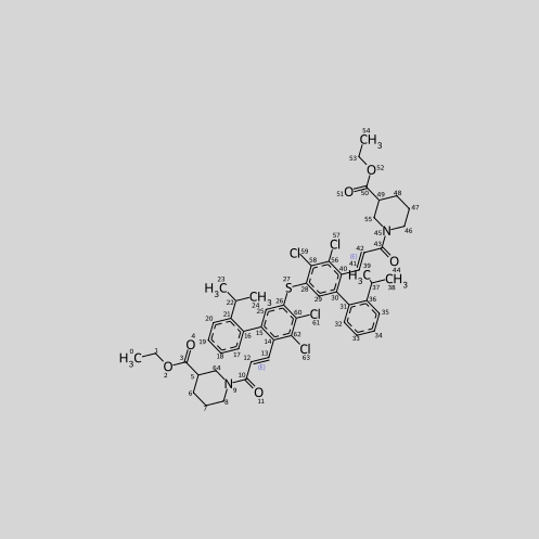 CCOC(=O)C1CCCN(C(=O)/C=C/c2c(-c3ccccc3C(C)C)cc(Sc3cc(-c4ccccc4C(C)C)c(/C=C/C(=O)N4CCCC(C(=O)OCC)C4)c(Cl)c3Cl)c(Cl)c2Cl)C1